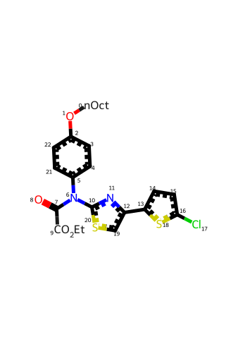 CCCCCCCCOc1ccc(N(C(=O)C(=O)OCC)c2nc(-c3ccc(Cl)s3)cs2)cc1